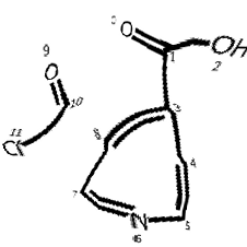 O=C(O)c1ccncc1.O=CCl